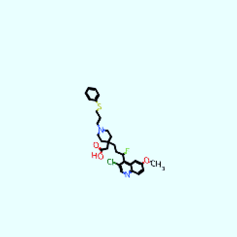 COc1ccc2ncc(Cl)c(C(F)CCC3(CC(=O)O)CCN(CCCSc4ccccc4)CC3)c2c1